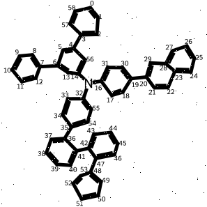 c1ccc(-c2cc(-c3ccccc3)cc(N(c3ccc(-c4ccc5ccccc5c4)cc3)c3ccc(-c4ccccc4-c4ccccc4-c4ccccc4)cc3)c2)cc1